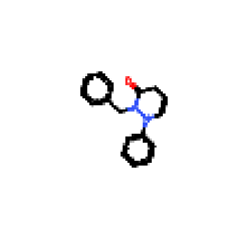 O=C1CC=CN(c2ccccc2)N1Cc1ccccc1